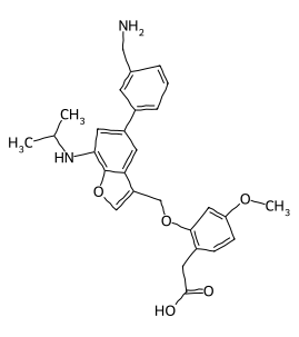 COc1ccc(CC(=O)O)c(OCc2coc3c(NC(C)C)cc(-c4cccc(CN)c4)cc23)c1